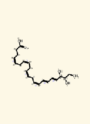 CC[C@@H](O)[C@H](O)/C=C/C=C/C=C\C/C=C\C/C=C\C/C=C\CCC(=O)O